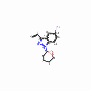 C=Cc1nn(C2CCCCO2)c2ccc(I)cc12